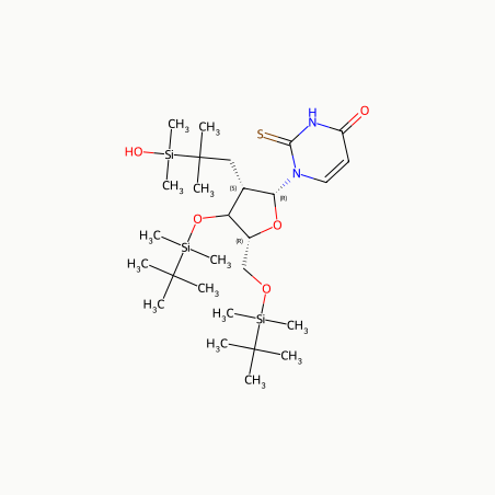 CC(C)(C[C@H]1C(O[Si](C)(C)C(C)(C)C)[C@@H](CO[Si](C)(C)C(C)(C)C)O[C@H]1n1ccc(=O)[nH]c1=S)[Si](C)(C)O